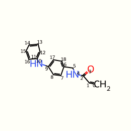 C=CC(=O)NCc1ccc(Nc2ccccc2)cc1